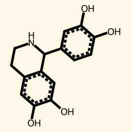 Oc1ccc(C2NCCc3cc(O)c(O)cc32)cc1O